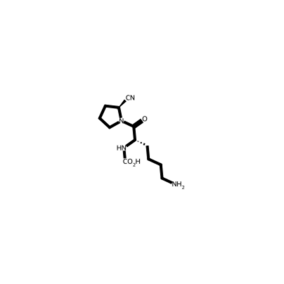 N#C[C@@H]1CCCN1C(=O)[C@H](CCCCN)NC(=O)O